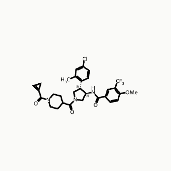 COc1ccc(C(=O)N[C@H]2CN(C(=O)C3CCN(C(=O)C4=CC4)CC3)C[C@@H]2c2ccc(Cl)cc2C)cc1C(F)(F)F